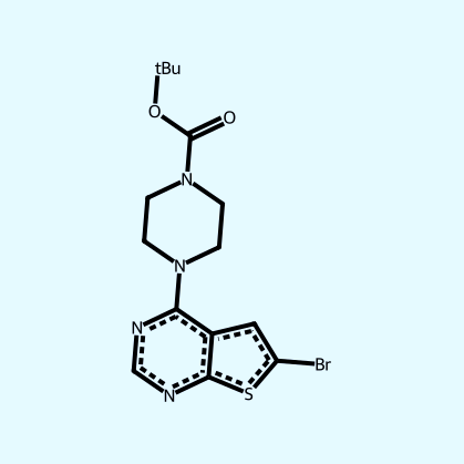 CC(C)(C)OC(=O)N1CCN(c2ncnc3sc(Br)cc23)CC1